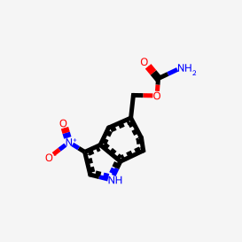 NC(=O)OCc1ccc2[nH]cc([N+](=O)[O-])c2c1